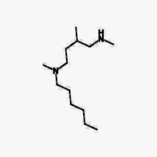 CCCCCCN(C)CCC(C)CNC